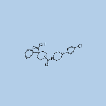 O=C(N1CCN(c2ccc(Cl)cc2)CC1)N1CCC(C(=O)O)(c2ccccc2)CC1